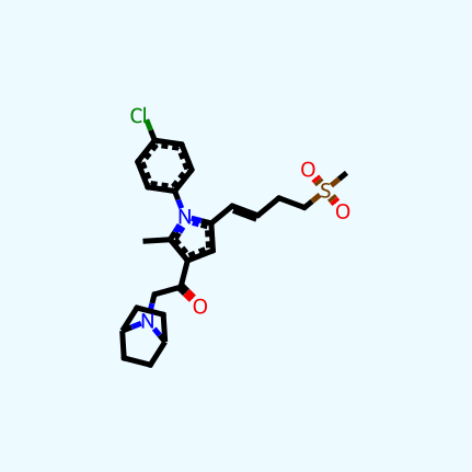 Cc1c(C(=O)CN2C3CCC2CC3)cc(C=CCCS(C)(=O)=O)n1-c1ccc(Cl)cc1